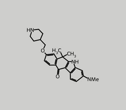 CNc1ccc2c3c([nH]c2c1)C(C)(C)c1cc(OCC2CCNCC2)ccc1C3=O